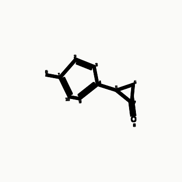 Cc1ccc(C2CC2=O)cc1